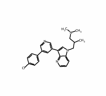 CC(CN(C)C)Cn1cc(-c2cncc(-c3ccc(Cl)cc3)c2)c2ncccc21